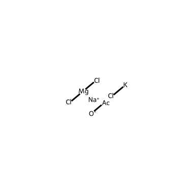 CC(=O)[O-].[Cl][K].[Cl][Mg][Cl].[Na+]